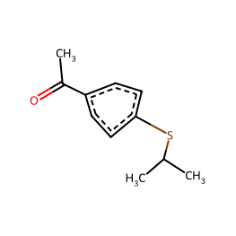 CC(=O)c1ccc(SC(C)C)cc1